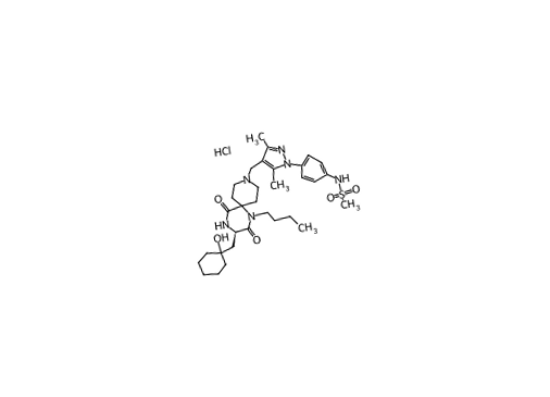 CCCCN1C(=O)[C@@H](CC2(O)CCCCC2)NC(=O)C12CCN(Cc1c(C)nn(-c3ccc(NS(C)(=O)=O)cc3)c1C)CC2.Cl